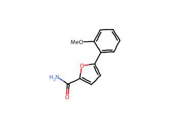 COc1ccccc1-c1ccc(C(N)=O)o1